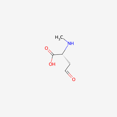 CN[C@H](CC=O)C(=O)O